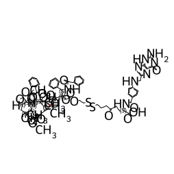 CC(=O)O[C@H]1C(=O)[C@@]2(C)[C@H]([C@H](OC(=O)c3ccccc3)[C@]3(O)C[C@H](OC(=O)[C@H](OC(=O)OCCSSCCCC(=O)CC[C@H](NC(=O)c4ccc(NCc5cnc6[nH]c(N)nc(=O)c6n5)cc4)C(=O)O)[C@@H](NC(=O)c4ccccc4)c4ccccc4)C(C)=C1C3(C)C)[C@]1(OC(C)=O)CO[C@@H]1C[C@@H]2O